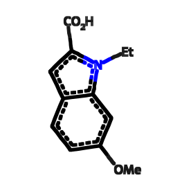 CCn1c(C(=O)O)cc2ccc(OC)cc21